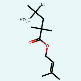 CCC(C)(CC(C)(C)C(=O)OCC=C(C)C)C(=O)O